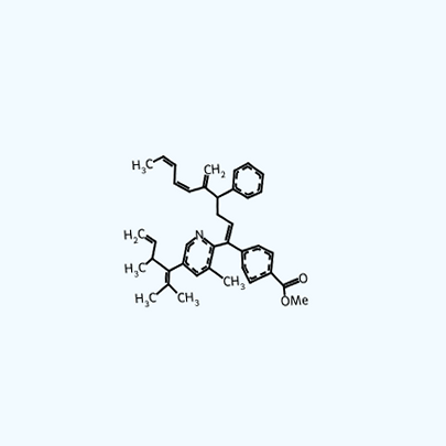 C=CC(C)C(=C(C)C)c1cnc(/C(=C\CC(C(=C)/C=C\C=C/C)c2ccccc2)c2ccc(C(=O)OC)cc2)c(C)c1